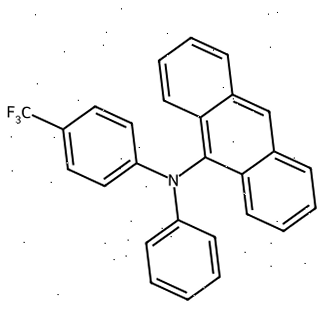 FC(F)(F)c1ccc(N(c2ccccc2)c2c3ccccc3cc3ccccc23)cc1